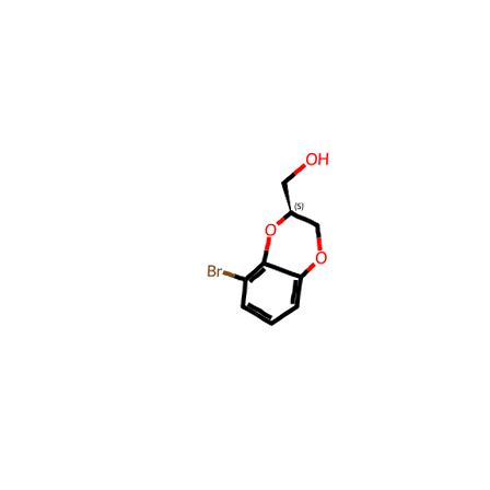 OC[C@H]1COc2cccc(Br)c2O1